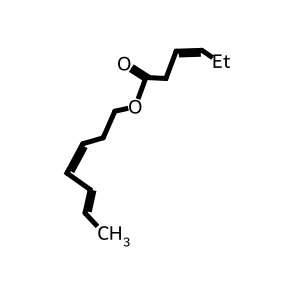 C/C=C/C=C\CCOC(=O)C/C=C\CC